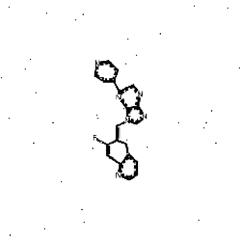 FC1=Cc2ncccc2CC1=Cn1cnc2ncc(-c3ccncc3)nc21